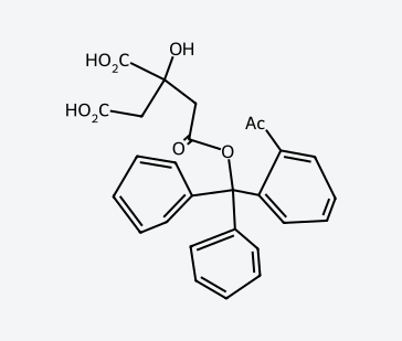 CC(=O)c1ccccc1C(OC(=O)CC(O)(CC(=O)O)C(=O)O)(c1ccccc1)c1ccccc1